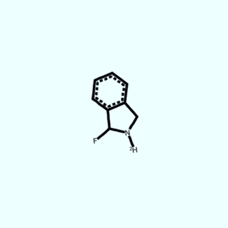 [2H]N1Cc2ccccc2C1F